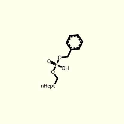 CCCCCCCCOP(=O)(O)OCc1ccccc1